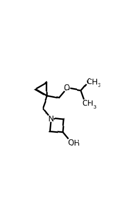 CC(C)OCC1(CN2CC(O)C2)CC1